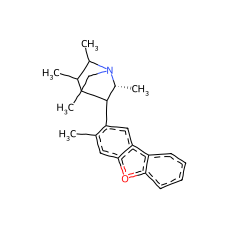 Cc1cc2oc3ccccc3c2cc1C1[C@@H](C)N2CC1(C)C(C)C2C